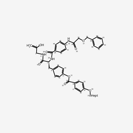 C=C(O)CNC(=O)[C@H](Cc1ccc(OC(=O)c2ccc(OCCCCCCC)cc2)cc1)NC(=O)c1ccc(NC(=O)COCc2ccccc2)cc1